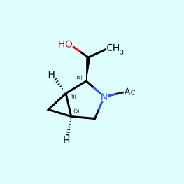 CC(=O)N1C[C@H]2C[C@H]2[C@H]1C(C)O